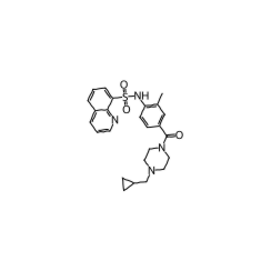 Cc1cc(C(=O)N2CCN(CC3CC3)CC2)ccc1NS(=O)(=O)c1cccc2cccnc12